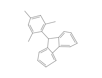 Cc1cc(C)c(C2c3ccccc3-c3ccccc32)c(C)c1